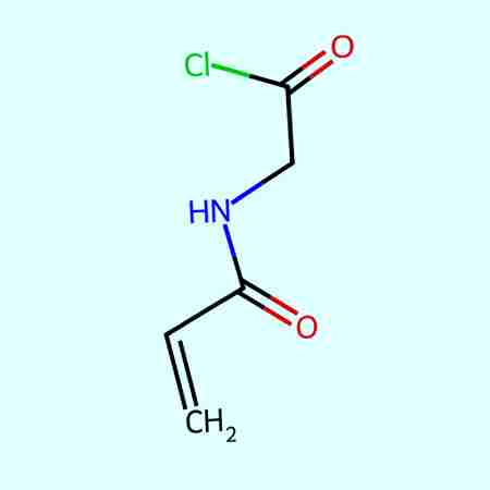 C=CC(=O)NCC(=O)Cl